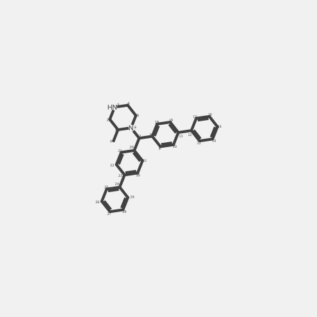 CC1CNCCN1C(c1ccc(-c2ccccc2)cc1)c1ccc(-c2ccccc2)cc1